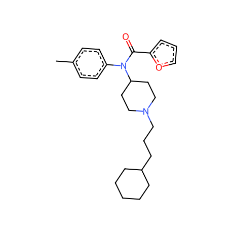 Cc1ccc(N(C(=O)c2ccco2)C2CCN(CCCC3CCCCC3)CC2)cc1